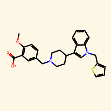 COc1ccc(CN2CCC(c3cn(Cc4cccs4)c4ccccc34)CC2)cc1C(=O)O